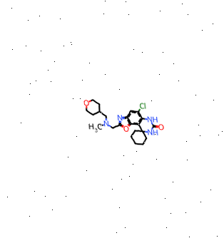 CN(Cc1nc2cc(Cl)c3c(c2o1)C1(CCCCC1)NC(=O)N3)CC1CCOCC1